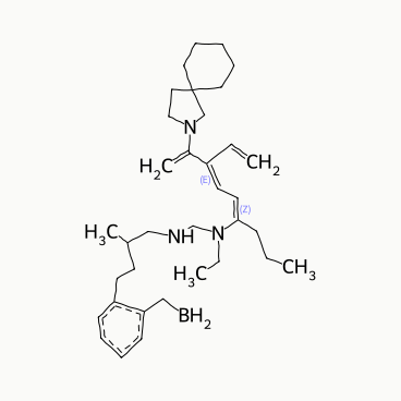 BCc1ccccc1CCC(C)CNCN(CC)/C(=C\C=C(/C=C)C(=C)N1CCC2(CCCCC2)C1)CCC